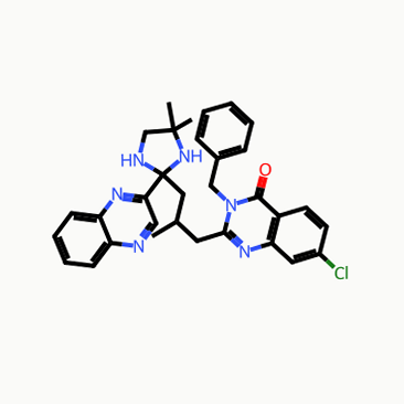 CC(Cc1nc2cc(Cl)ccc2c(=O)n1Cc1ccccc1)CC1(c2cnc3ccccc3n2)NCC(C)(C)N1